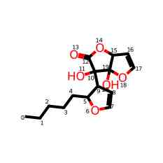 CCCCCC1OC=CC1C1(O)C(=O)OC2C=COC21O